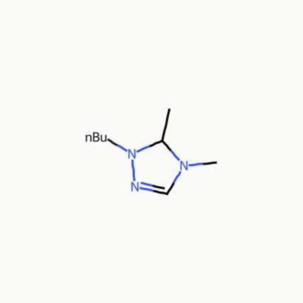 CCCCN1N=CN(C)C1C